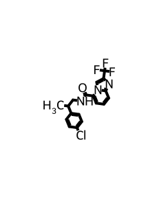 CC(CNC(=O)c1cccc2nc(C(F)(F)F)cn12)c1ccc(Cl)cc1